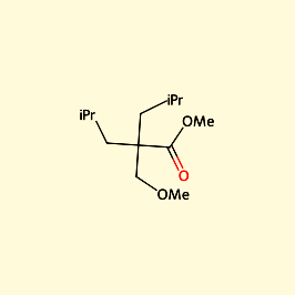 COCC(CC(C)C)(CC(C)C)C(=O)OC